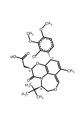 COc1ccc([C@@H]2C=C(C)C3=COC[C@@H](C(C)(C)C)N4C(=O)[C@@H](CC(=O)O)OC2=C34)c(Cl)c1OC